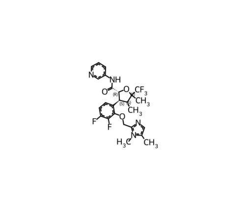 Cc1cnc(COc2c([C@H]3[C@H](C(=O)Nc4cccnc4)O[C@@](C)(C(F)(F)F)[C@H]3C)ccc(F)c2F)n1C